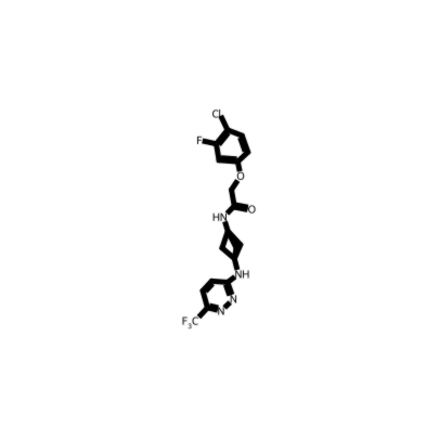 O=C(COc1ccc(Cl)c(F)c1)NC12CC(Nc3ccc(C(F)(F)F)nn3)(C1)C2